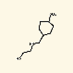 COC1CCC(CNCCO)CC1